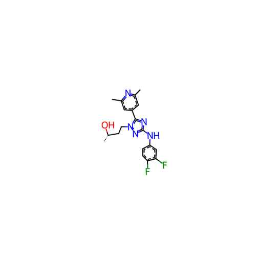 Cc1cc(-c2nc(Nc3ccc(F)c(F)c3)nn2CC[C@H](C)O)cc(C)n1